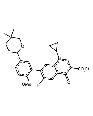 CCOC(=O)c1cn(C2CC2)c2cc(-c3cc(C4OCC(C)(C)CO4)ccc3OC)c(F)cc2c1=O